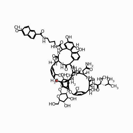 CN[C@H](CC(C)C)C(=O)N[C@H]1C(=O)N[C@@H](CC(N)=O)C(=O)NC2C(=O)N[C@H]3C(=O)N[C@H](C(=O)NC(C(=O)NCCCNC(=O)c4ccc5cc(OC)ccc5c4)c4cc(O)cc(O)c4-c4cc3ccc4O)[C@H](O)c3ccc(c(Cl)c3)Oc3cc2cc(c3O[C@@H]2O[C@H](CO)[C@@H](O)[C@H](O)[C@H]2OC2C[C@](C)(N)[C@H](O)[C@H](C)O2)Oc2ccc(cc2Cl)[C@H]1O